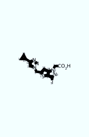 O=C(O)Cn1nc(I)c2sc(Cn3cc(C4CC4)nn3)cc21